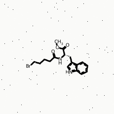 COC(=O)[C@H](Cc1c[nH]c2ccccc12)NC(=O)CCCCBr